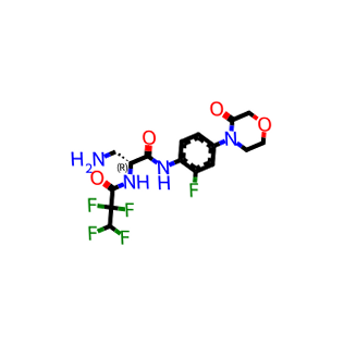 NC[C@@H](NC(=O)C(F)(F)C(F)F)C(=O)Nc1ccc(N2CCOCC2=O)cc1F